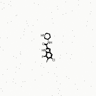 O=C(N[C@H]1CCCNC1)c1cc2cc(Cl)c(F)c(F)c2[nH]1